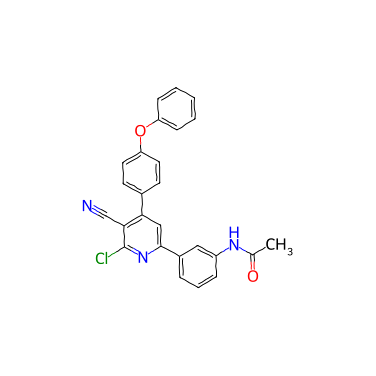 CC(=O)Nc1cccc(-c2cc(-c3ccc(Oc4ccccc4)cc3)c(C#N)c(Cl)n2)c1